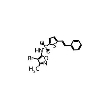 Cc1noc(NS(=O)(=O)c2ccc(C=Cc3ccccc3)s2)c1Br